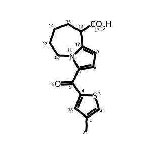 Cc1csc(C(=O)c2ccc3n2CCCCC3C(=O)O)c1